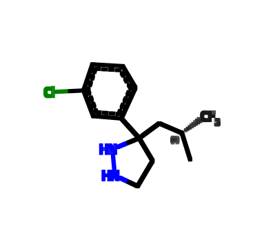 C[C@H](CC1(c2cccc(Cl)c2)CCNN1)C(F)(F)F